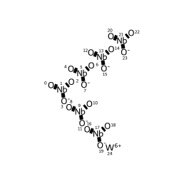 [O]=[Nb](=[O])[O-].[O]=[Nb](=[O])[O-].[O]=[Nb](=[O])[O-].[O]=[Nb](=[O])[O-].[O]=[Nb](=[O])[O-].[O]=[Nb](=[O])[O-].[W+6]